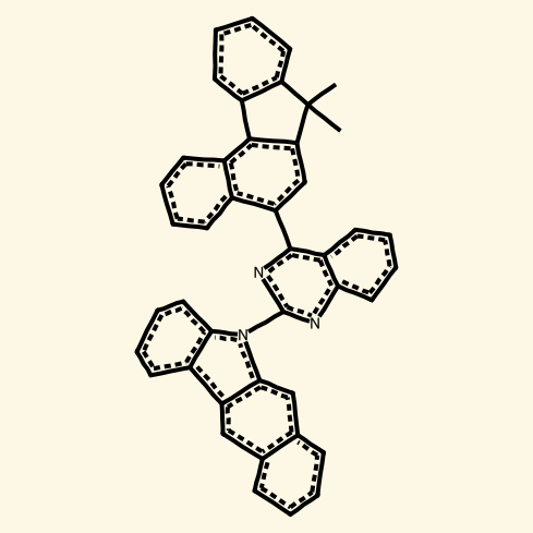 CC1(C)c2ccccc2-c2c1cc(-c1nc(-n3c4ccccc4c4cc5ccccc5cc43)nc3ccccc13)c1ccccc21